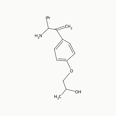 C=C(c1ccc(OCC(C)O)cc1)C(N)C(C)C